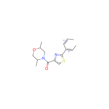 C/C=C\C(=C/C)c1nc(C(=O)N2CC(C)OCC2C)cs1